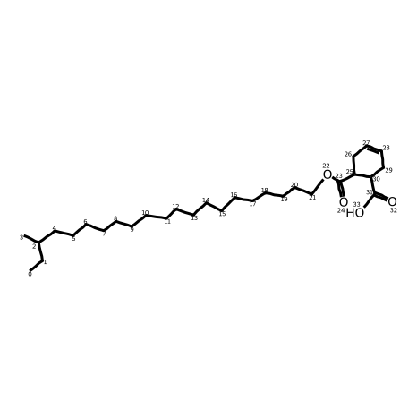 CCC(C)CCCCCCCCCCCCCCCCCCOC(=O)C1CC=CCC1C(=O)O